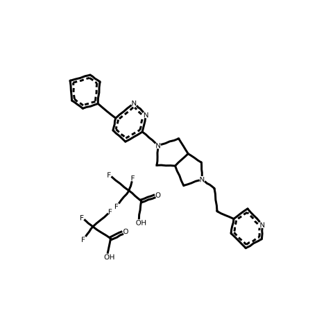 O=C(O)C(F)(F)F.O=C(O)C(F)(F)F.c1ccc(-c2ccc(N3CC4CN(CCc5cccnc5)CC4C3)nn2)cc1